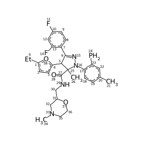 CCc1ccc(C2C(c3ccc(F)cc3F)=NN(c3ccc(C)cc3P)C2(C)C(=O)NCC2CN(C)CCO2)o1